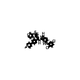 CN1CCC(c2ccc(C(=O)Nc3n[nH]c4ccc(Nc5cc(Cl)ccc5Cl)nc34)c(N(C(=O)C(F)(F)F)C3CCOCC3)c2)CC1